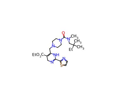 CCOC(=O)C1=C(CN2CCN(C(=O)N(C)CC(C)(C)CC)CC2)NC(c2nccs2)=NC1